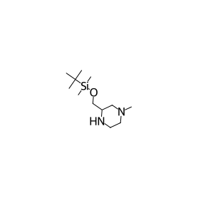 CN1CCNC(CO[Si](C)(C)C(C)(C)C)C1